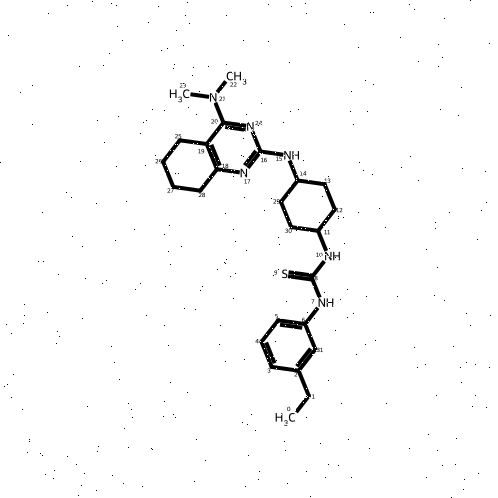 CCc1cccc(NC(=S)NC2CCC(Nc3nc4c(c(N(C)C)n3)CCCC4)CC2)c1